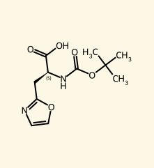 CC(C)(C)OC(=O)N[C@@H](Cc1ncco1)C(=O)O